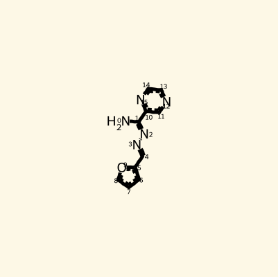 NC(=NN=Cc1ccco1)c1cnccn1